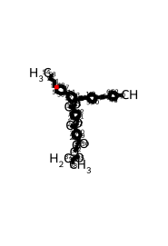 C#Cc1ccc(C#Cc2ccc(C#CC3(OC(=O)c4ccc(OC(=O)C5CCC(C(=O)OCOC(=O)C(=C)C)CC5)cc4)CCC(C4CCC(CCCCC)CC4)CC3)cc2)cc1